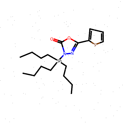 CCC[CH2][Sn]([CH2]CCC)([CH2]CCC)[n]1nc(-c2cccs2)oc1=O